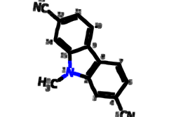 Cn1c2cc(C#N)ccc2c2ccc(C#N)cc21